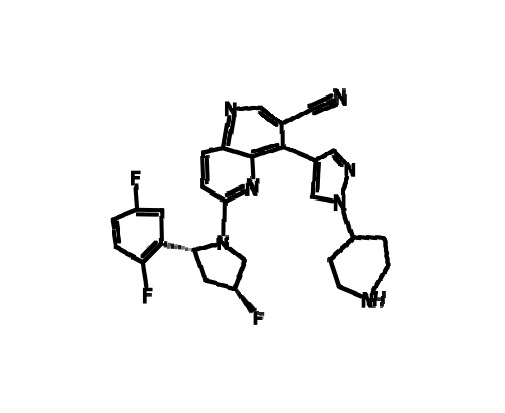 N#Cc1cnc2ccc(N3C[C@@H](F)C[C@@H]3c3cc(F)ccc3F)nc2c1-c1cnn(C2CCNCC2)c1